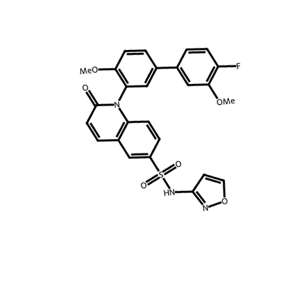 COc1cc(-c2ccc(OC)c(-n3c(=O)ccc4cc(S(=O)(=O)Nc5ccon5)ccc43)c2)ccc1F